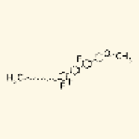 CCCCCCCCCCc1ccc(-c2ccc(-c3ccc(C4CCC(OCCC)CC4)cc3F)cc2)c(F)c1F